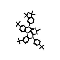 Cc1nc2c3c(n1)N(c1ccc4c(c1)C(C)(C)CC4(C)C)c1cc(C(C)(C)C)ccc1B3c1cc(C(C)(C)C)ccc1N2c1ccc(C(C)(C)C)cc1